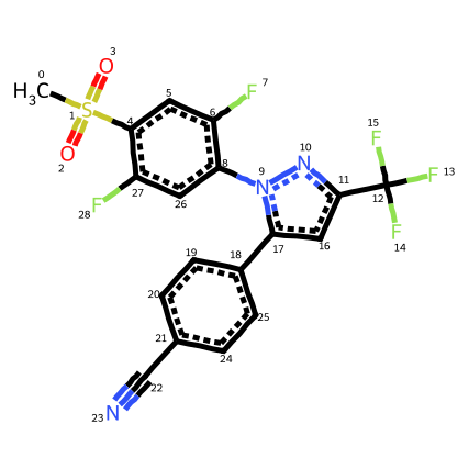 CS(=O)(=O)c1cc(F)c(-n2nc(C(F)(F)F)cc2-c2ccc(C#N)cc2)cc1F